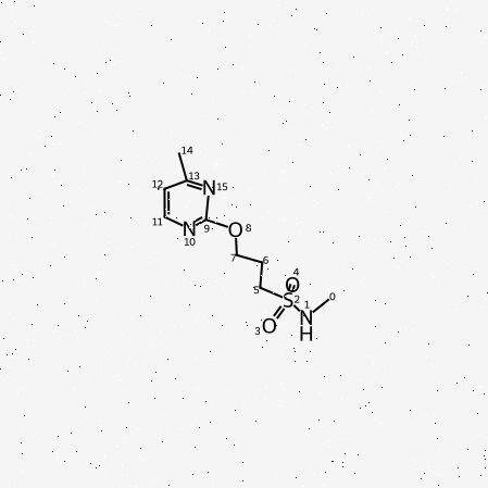 CNS(=O)(=O)CCCOc1nc[c]c(C)n1